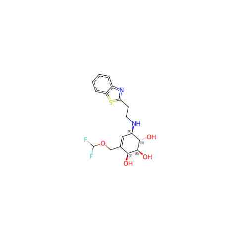 O[C@@H]1[C@@H](O)[C@@H](O)C(COC(F)F)=C[C@H]1NCCc1nc2ccccc2s1